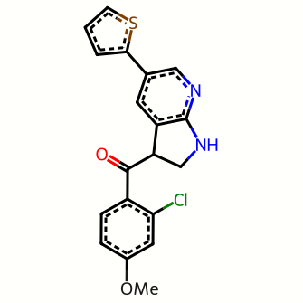 COc1ccc(C(=O)C2CNc3ncc(-c4cccs4)cc32)c(Cl)c1